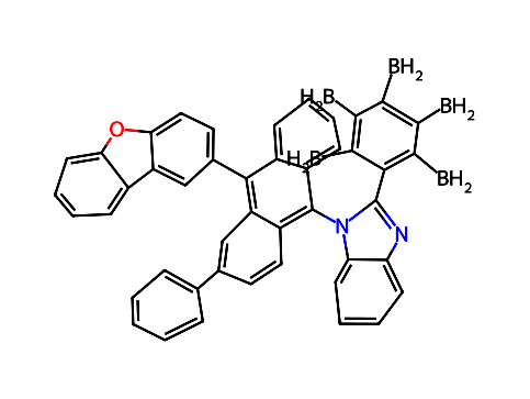 Bc1c(B)c(B)c(-c2nc3ccccc3n2-c2c3ccccc3c(-c3ccc4oc5ccccc5c4c3)c3cc(-c4ccccc4)ccc23)c(B)c1B